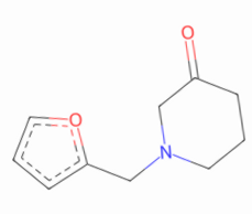 O=C1CCCN(Cc2ccco2)C1